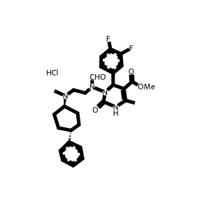 COC(=O)C1=C(C)NC(=O)N(N(C=O)CCN(C)[C@H]2CC[C@H](c3ccccc3)CC2)C1c1ccc(F)c(F)c1.Cl